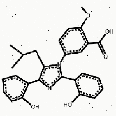 COc1ccc(-n2c(-c3ccccc3O)nc(-c3ccccc3O)c2CC(C)C)cc1C(=O)O